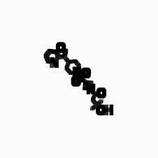 CC(C)(O)CC(=O)N1CC(S(=O)(=O)N2CCC(c3coc4cccnc34)CC2)C1